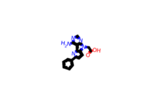 Nc1ncnc2c1c1nc(-c3ccccc3)ccc1n2CC(=O)O